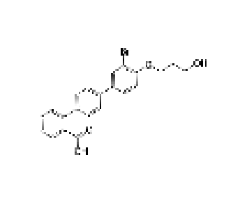 O=C(O)c1ccccc1-c1ccc(-c2ccc(OCCCO)c(Br)c2)cc1